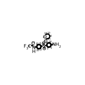 Nc1ccc(S(=O)(=O)c2ccc(NC(=O)C(F)(F)F)cc2)c(OC2CCCCO2)c1